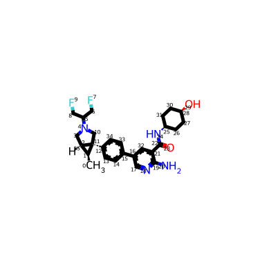 C[C@H]1[C@H]2CN(C(CF)CF)C[C@]21c1ccc(-c2cnc(N)c(C(=O)N[C@H]3CC[C@H](O)CC3)c2)cc1